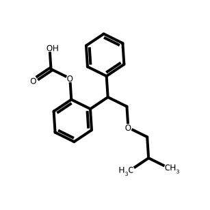 CC(C)COCC(c1ccccc1)c1ccccc1OC(=O)O